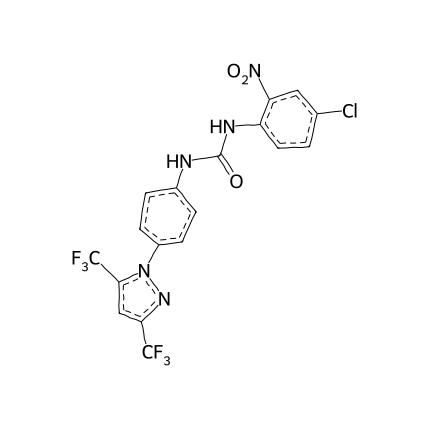 O=C(Nc1ccc(-n2nc(C(F)(F)F)cc2C(F)(F)F)cc1)Nc1ccc(Cl)cc1[N+](=O)[O-]